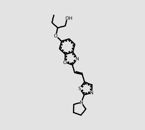 CCC(CO)Oc1ccc2nc(/C=C/c3cnc(N4CCCC4)s3)oc2c1